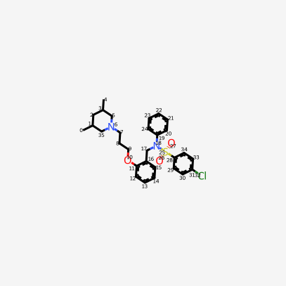 CC1CC(C)CN(CCCOc2ccccc2CN(c2ccccc2)S(=O)(=O)c2ccc(Cl)cc2)C1